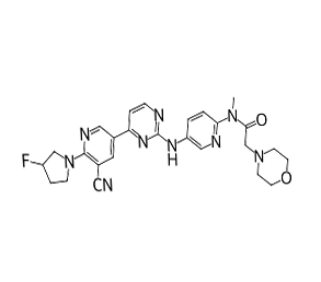 CN(C(=O)CN1CCOCC1)c1ccc(Nc2nccc(-c3cnc(N4CCC(F)C4)c(C#N)c3)n2)cn1